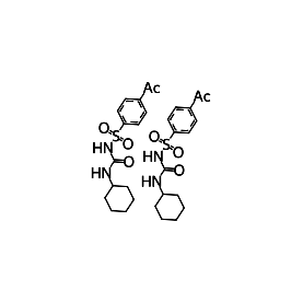 CC(=O)c1ccc(S(=O)(=O)NC(=O)NC2CCCCC2)cc1.CC(=O)c1ccc(S(=O)(=O)NC(=O)NC2CCCCC2)cc1